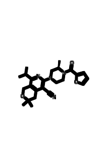 CC(C)c1nc(N2CCN(C(=O)c3ccco3)[C@H](C)C2)c(C#N)c2c1COC(C)(C)C2